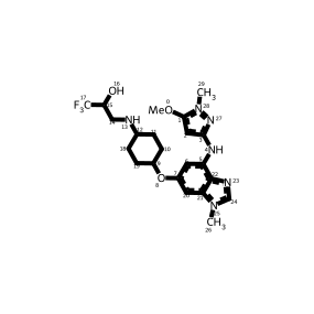 COc1cc(Nc2cc(OC3CCC(NCC(O)C(F)(F)F)CC3)cc3c2ncn3C)nn1C